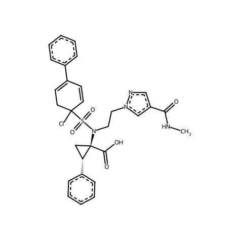 CNC(=O)c1cnn(CCN([C@]2(C(=O)O)C[C@H]2c2ccccc2)S(=O)(=O)C2(Cl)C=CC(c3ccccc3)=CC2)c1